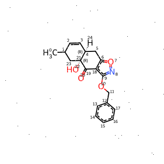 CC1C=C[C@H]2Cc3onc(OCc4ccccc4)c3C(=O)[C@@]2(O)C1